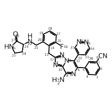 N#Cc1cccc(-c2nc(N)c3nc(Cc4c(F)cccc4CN[C@H]4CCNC4=O)nn3c2-c2ccnnc2)c1